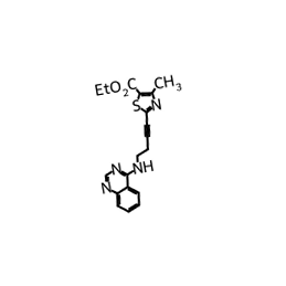 CCOC(=O)c1sc(C#CCCNc2ncnc3ccccc23)nc1C